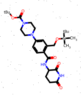 CC(C)(C)OC(=O)N1CCN(c2ccc(C(=O)NC3CCC(=O)NC3=O)c(CO[Si](C)(C)C(C)(C)C)c2)CC1